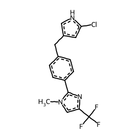 Cn1cc(C(F)(F)F)nc1-c1ccc(Cc2c[nH]c(Cl)c2)cc1